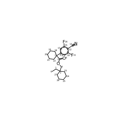 CCC1(COC(=O)C2(c3cc(F)c(C#N)c(F)c3)CCCCC2)CCCCC1